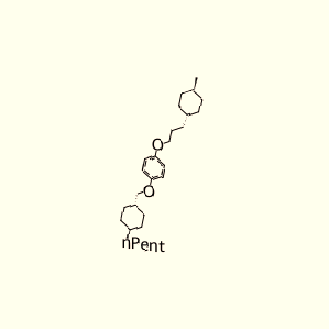 CCCCC[C@H]1CC[C@H](COc2ccc(OCCC[C@H]3CC[C@H](C)CC3)cc2)CC1